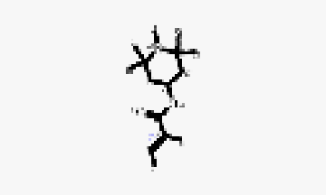 C/C=C(\C)C(=O)OC1CC(C)(C)N(C)C(C)(C)C1